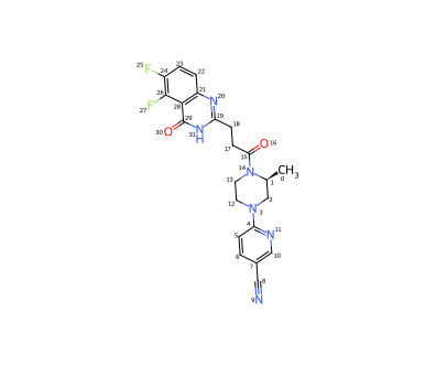 C[C@H]1CN(c2ccc(C#N)cn2)CCN1C(=O)CCc1nc2ccc(F)c(F)c2c(=O)[nH]1